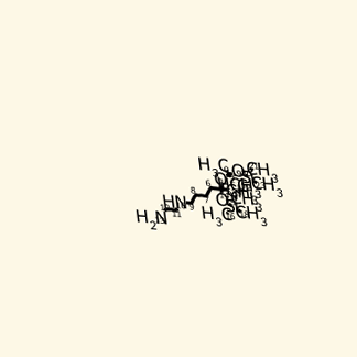 CC(C)(OC(C)(CCCCNCCN)O[Si](C)(C)C)O[Si](C)(C)C